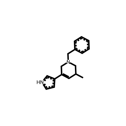 CC1C=C(c2cc[nH]c2)CN(Cc2ccccc2)C1